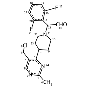 Cc1ncc(CCl)c(C2CCN(C(C=O)c3c(F)cccc3F)CC2)n1